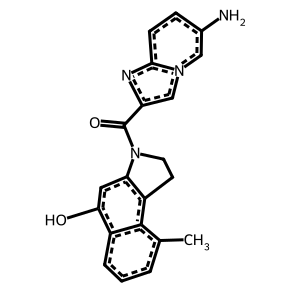 Cc1cccc2c(O)cc3c(c12)CCN3C(=O)c1cn2cc(N)ccc2n1